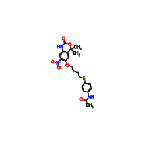 CC(=O)Nc1ccc(SCCCCOc2cc3c(cc2[N+](=O)[O-])NC(=O)OC3(C)C)cc1